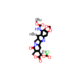 CCCCc1c2c(nc3cc4c(c(NC(=O)OC(C)(C)C)c13)OCO4)-c1cc3c(c(=O)n1C2)COC(=O)[C@@]3(CC)OC(=O)Cl